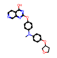 CN(c1ccc(Oc2nc(O)c3ccncc3n2)cc1)c1ccc(OC2CCOC2)cc1